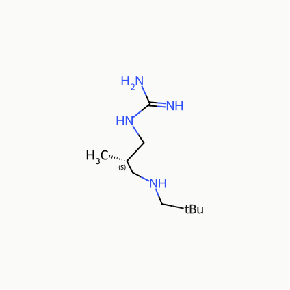 C[C@@H](CNCC(C)(C)C)CNC(=N)N